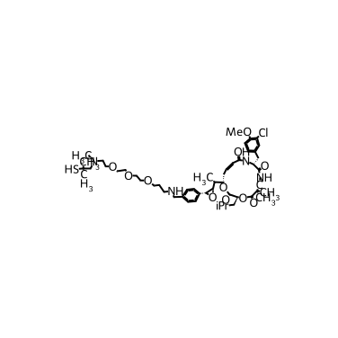 COc1ccc(C[C@H]2NC(=O)C=CC[C@@H]([C@H](C)[C@H]3O[C@@H]3c3ccc(CNCCCOCCOCCOCCN(C)CC(C)(C)S)cc3)OC(=O)[C@H](CC(C)C)OC(=O)C(C)(C)CNC2=O)cc1Cl